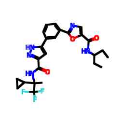 CCC(CC)NC(=O)c1cnc(-c2cccc(-c3cc(C(=O)NC(C)(C4CC4)C(F)(F)F)n[nH]3)c2)o1